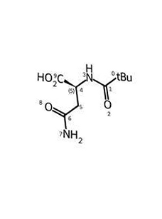 CC(C)(C)C(=O)N[C@@H](CC(N)=O)C(=O)O